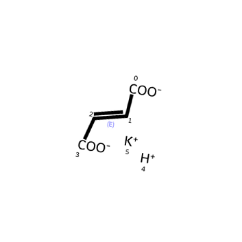 O=C([O-])/C=C/C(=O)[O-].[H+].[K+]